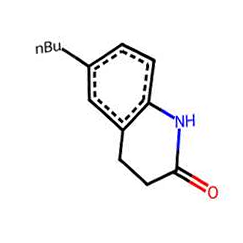 [CH2]CCCc1ccc2c(c1)CCC(=O)N2